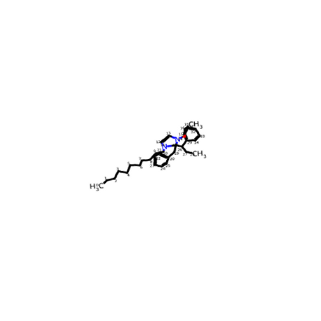 CCCCCCCCCCCN1C=CN(CCC)C1(Cc1ccccc1)C(CC)c1ccccc1